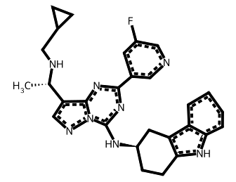 C[C@H](NCC1CC1)c1cnn2c(N[C@@H]3CCc4[nH]c5ccccc5c4C3)nc(-c3cncc(F)c3)nc12